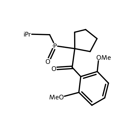 COc1cccc(OC)c1C(=O)C1([P](=O)CC(C)C)CCCC1